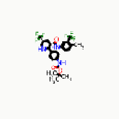 Cc1ccc(NC(=O)[C@H]2C[C@@H](C(F)(F)F)CNC2c2ccc(NC(=O)OC(C)(C)C)cc2)cc1C(F)(F)F